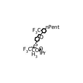 CCCCCc1ccc(-c2cc3ccc(SCC(C)(COC(=O)C(C)C)CC(F)(F)F)cc3o2)c(C(F)(F)F)c1